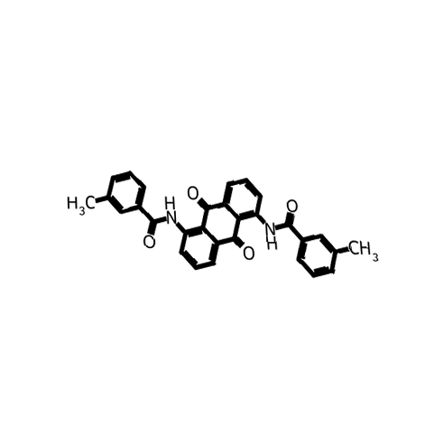 Cc1cccc(C(=O)Nc2cccc3c2C(=O)c2cccc(NC(=O)c4cccc(C)c4)c2C3=O)c1